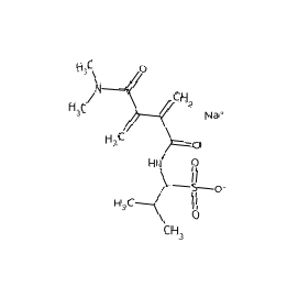 C=C(C(=C)C(=O)N(C)C)C(=O)NC(C(C)C)S(=O)(=O)[O-].[Na+]